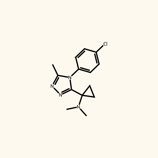 Cc1nnc(C2(N(C)C)CC2)n1-c1[c]cc(Cl)cc1